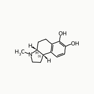 CN1CC[C@H]2c3ccc(O)c(O)c3CC[C@H]21